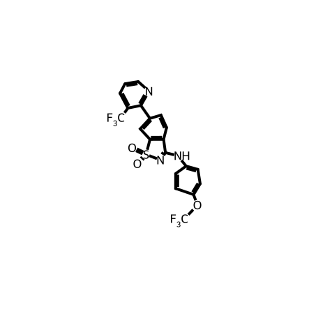 O=S1(=O)N=C(Nc2ccc(OC(F)(F)F)cc2)c2ccc(-c3ncccc3C(F)(F)F)cc21